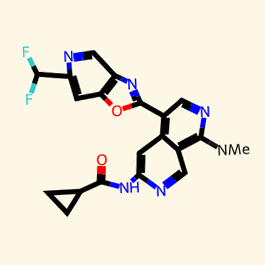 CNc1ncc(-c2nc3cnc(C(F)F)cc3o2)c2cc(NC(=O)C3CC3)ncc12